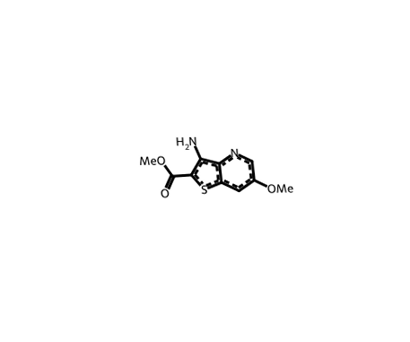 COC(=O)c1sc2cc(OC)cnc2c1N